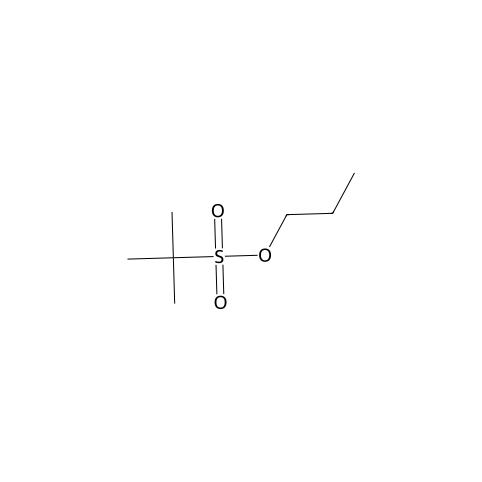 CCCOS(=O)(=O)C(C)(C)C